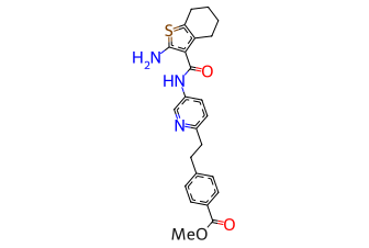 COC(=O)c1ccc(CCc2ccc(NC(=O)c3c(N)sc4c3CCCC4)cn2)cc1